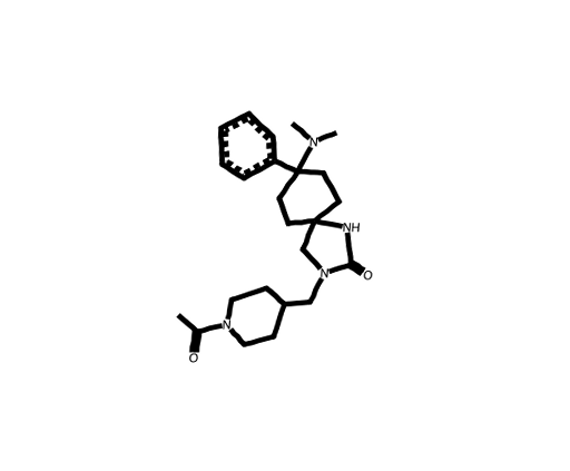 CC(=O)N1CCC(CN2CC3(CCC(c4ccccc4)(N(C)C)CC3)NC2=O)CC1